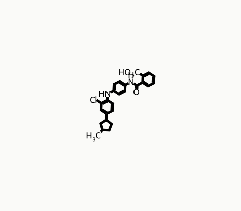 CC1CCC(c2ccc(Nc3ccc(NC(=O)c4ccccc4C(=O)O)cc3)c(Cl)c2)C1